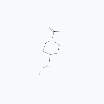 CONC1CCN(C(=O)O)CC1